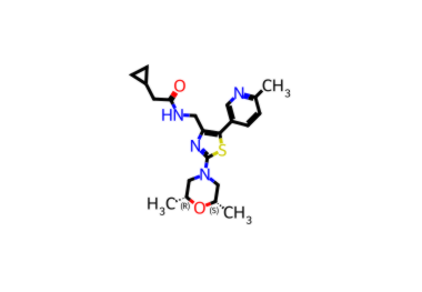 Cc1ccc(-c2sc(N3C[C@@H](C)O[C@@H](C)C3)nc2CNC(=O)CC2CC2)cn1